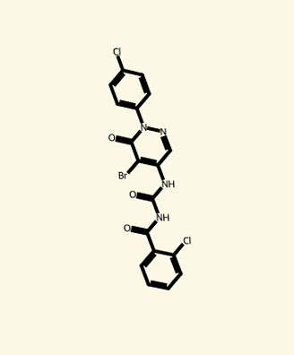 O=C(NC(=O)c1ccccc1Cl)Nc1cnn(-c2ccc(Cl)cc2)c(=O)c1Br